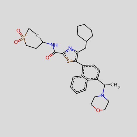 CC(c1ccc(-c2sc(C(=O)NC3CCS(=O)(=O)CC3)nc2CC2CCCCC2)c2ccccc12)N1CCOCC1